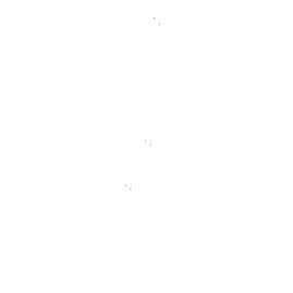 c1ccc(-c2cc(-c3cccc(-c4cccc5[nH]c6ccccc6c45)c3)nc(-c3ccccc3)n2)cc1